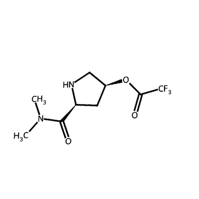 CN(C)C(=O)[C@@H]1C[C@H](OC(=O)C(F)(F)F)CN1